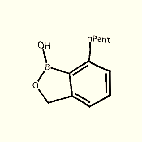 CCCCCc1cccc2c1B(O)OC2